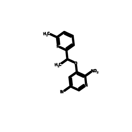 Cc1cccc(C(C)Oc2cc(Br)cnc2[N+](=O)[O-])n1